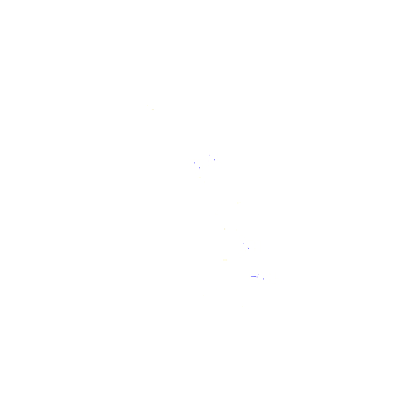 Cc1nn(COCC[Si](C)(C)C)c(C)c1-c1ccc(NC(=O)[C@@H](N)C(C2CC2)C2CC2)cc1